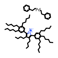 CCCCCc1cc(C2=C(CCCC)C(CCCC)=C(c3cc(CCCCC)c(CCCCC)c(CCCCC)c3)[N+]2=[N-])cc(CCCCC)c1CCCCC.c1ccc(C[CH2][Pd][CH2]Cc2ccccc2)cc1